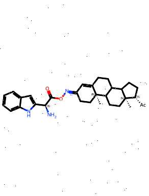 CC(=O)[C@H]1CCC2C3CCC4=C/C(=N/OC(=O)[C@@H](N)c5cc6ccccc6[nH]5)CC[C@]4(C)C3CC[C@@]21C